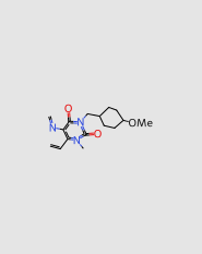 C=Cc1c(N=C)c(=O)n(CC2CCC(OC)CC2)c(=O)n1C